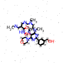 C=N/C=C(\C=N/CN(C)CCN(C)c1nc(-c2cccc(CO)c2)nc(N2CCOCC2)c1N=C)C(=O)NO